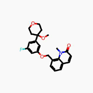 COC1(c2cc(F)cc(OCc3cccc4ccc(=O)n(C)c34)c2)CCOCC1